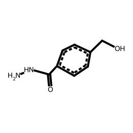 NNC(=O)c1ccc(CO)cc1